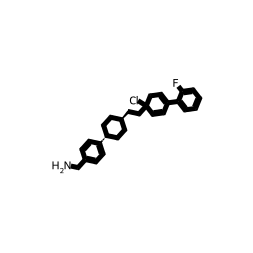 NCc1ccc([C@H]2CC[C@H](CCC3(Cl)C=CC(c4ccccc4F)=CC3)CC2)cc1